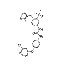 Cc1nccn1Cc1ccc(NC(=O)Nc2ccc(Oc3cc(Cl)ncn3)cc2)cc1C(F)(F)F